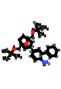 CC(C)(C)[Si](C)(C)OC[C@@]12CC[C@@](CO[Si](C)(C)C(C)(C)C)(C[C@H](C(/C=C\CN)=C/CC3=CCCCC3)C1)O2